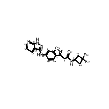 O=C(Cc1noc2cc(Nc3n[nH]c4ncccc34)ccc12)NC1CC(F)(F)C1